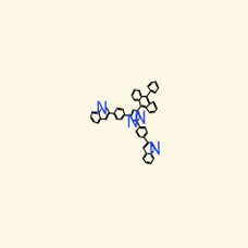 c1ccc(-c2c3ccccc3c(-c3cc(-c4ccc(-c5cnc6ccccc6c5)cc4)nc(-c4ccc(-c5cnc6ccccc6c5)cc4)n3)c3ccccc23)cc1